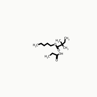 CCC(=O)O.CCCCCOC(=O)C(C)(C)CC